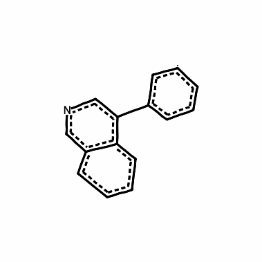 [c]1cccc(-c2cncc3ccccc23)c1